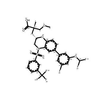 COC[C@](C)(C[C@H]1CN(S(=O)(=O)c2cccc(C(F)(F)F)c2)c2cc(-c3cc(F)cc(OC(F)F)c3)ccc2O1)C(=O)O